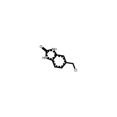 O=c1[nH]c2ccc(CCl)cc2[nH]1